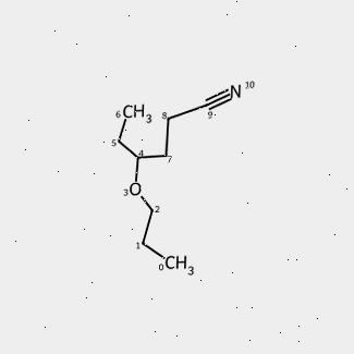 CCCOC(CC)CCC#N